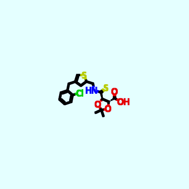 CC1(C)O[C@@H](C(=O)O)[C@H](C(=S)NCC2CC(Cc3ccccc3Cl)=CS2)O1